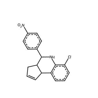 O=[N+]([O-])c1ccc(C2Nc3c(Cl)cccc3C3C=CCC32)cc1